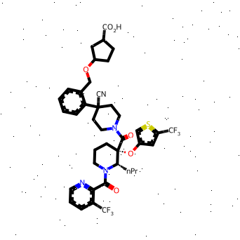 CCC[C@H]1N(C(=O)c2ncccc2C(F)(F)F)CCC[C@@]1(Oc1csc(C(F)(F)F)c1)C(=O)N1CCC(C#N)(c2ccccc2COC2CCC(C(=O)O)C2)CC1